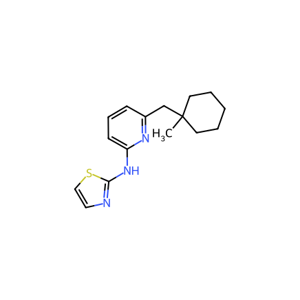 CC1(Cc2cccc(Nc3nccs3)n2)CCCCC1